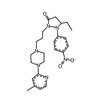 CCC1CC(=O)N(CCCN2CCN(c3cc(C)ccn3)CC2)N1c1ccc([N+](=O)[O-])cc1